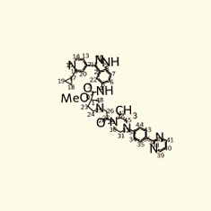 CO[C@@]1(C(=O)Nc2ccc3[nH]nc(-c4ccnc(C5CC5)c4)c3c2)CCN(CC(=O)N2CCN(c3ccc(-c4ncccn4)cc3)C[C@H]2C)C1